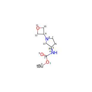 CC(C)(C)OC(=O)N[C@@H]1CCN(C2COC2)C1